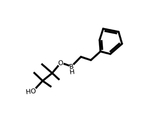 CC(C)(O)C(C)(C)OBCCc1ccccc1